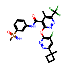 Cc1c(C(F)(F)F)nnc(Oc2nnc(C3(C)CCC3)cc2F)c1C(=O)Nc1cccc(S(C)(=N)=O)c1